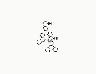 N=C(c1ccc(-c2ccc3c(c2)NCC=C3)cn1)N(Cc1cc2ccccc2c2ccccc12)/N=C/c1cc2ccccc2c2ccccc12